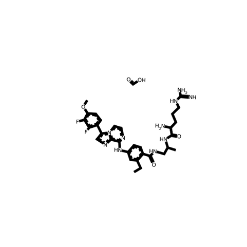 CCc1cc(Nc2nccn3c(-c4ccc(OC)c(F)c4F)cnc23)ccc1C(=O)NCC(C)NC(=O)C(N)CCCNC(=N)N.O=CO